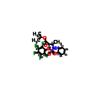 CC(C)OC1OC1[C@H](C)N[P@](=O)(Oc1ccccc1)Oc1c(F)c(F)c(F)c(F)c1F